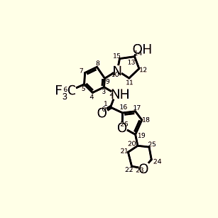 O=C(Nc1cc(C(F)(F)F)ccc1N1CCC(O)C1)c1ccc(C2CCOCC2)o1